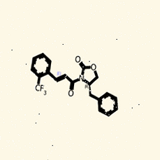 O=C(/C=C/c1ccccc1C(F)(F)F)N1C(=O)OC[C@H]1Cc1ccccc1